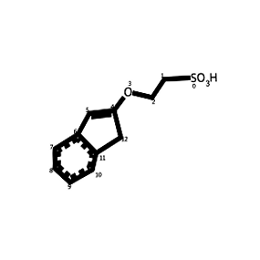 O=S(=O)(O)CCOC1=Cc2ccccc2C1